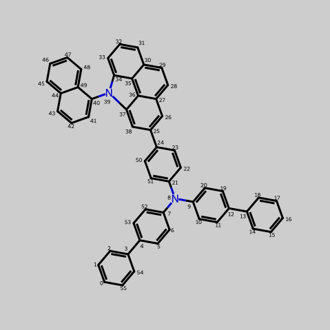 c1ccc(-c2ccc(N(c3ccc(-c4ccccc4)cc3)c3ccc(-c4cc5ccc6cccc7c6c5c(c4)n7-c4cccc5ccccc45)cc3)cc2)cc1